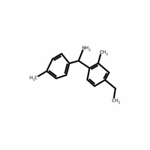 CCc1ccc(C(N)c2ccc(C)cc2)c(C)c1